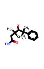 CC(C)(CC([NH])=O)C(Br)C(C)(C)c1ccccc1